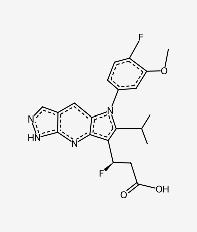 COc1cc(-n2c(C(C)C)c([C@H](F)CC(=O)O)c3nc4[nH]ncc4cc32)ccc1F